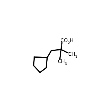 CC(C)(CC1CCCC1)C(=O)O